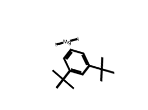 CC(C)(C)c1c[c]cc(C(C)(C)C)c1.[I][Mg][I]